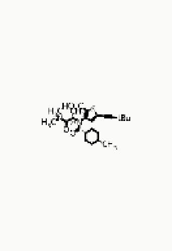 C[C@H](C(=O)N(C)C)N(c1cc(C#CC(C)(C)C)sc1C(=O)O)C(=O)[C@H]1CC[C@H](C)CC1